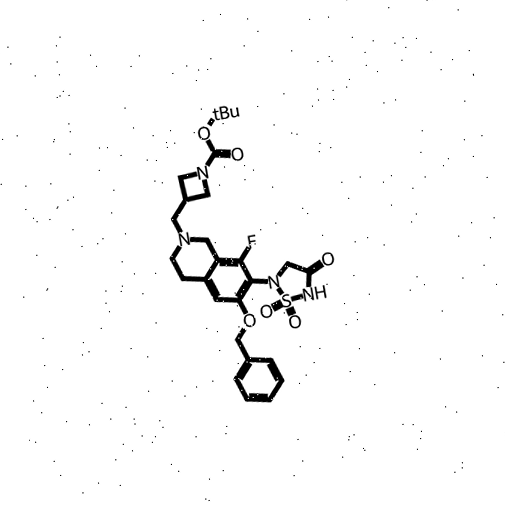 CC(C)(C)OC(=O)N1CC(CN2CCc3cc(OCc4ccccc4)c(N4CC(=O)NS4(=O)=O)c(F)c3C2)C1